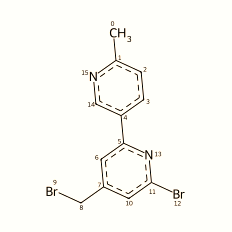 Cc1ccc(-c2cc(CBr)cc(Br)n2)cn1